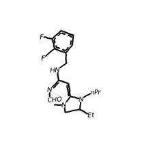 CCCN1/C(=C/C(=N\C=O)NCc2cccc(F)c2F)N(C)CC1CC